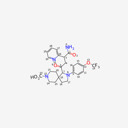 NC(=O)C(CC(=O)C1N(c2ccc(OC(F)(F)F)cc2)CCC12CCN(C(=O)O)CC2)c1ccccn1